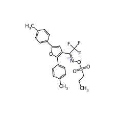 CCCS(=O)(=O)O/N=C(/c1cc(-c2ccc(C)cc2)oc1-c1ccc(C)cc1)C(F)(F)F